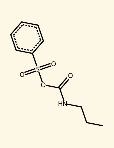 CCCNC(=O)OS(=O)(=O)c1ccccc1